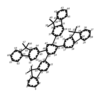 CC1(C)c2ccccc2-c2ccc(-c3cc(-c4ccc5c(c4)C(C)(C)c4ccccc4-5)c(-c4ccc5c(c4)C(C)(C)c4ccccc4-5)cc3-c3ccc4c(c3)C(C)(C)c3ccccc3-4)cc21